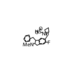 CNC1Cc2cc(F)c(CC3(N[SH](=O)=O)CCC3)cc2C1Cc1ccccc1